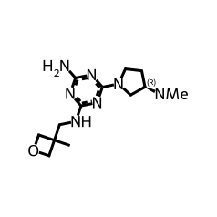 CN[C@@H]1CCN(c2nc(N)nc(NCC3(C)COC3)n2)C1